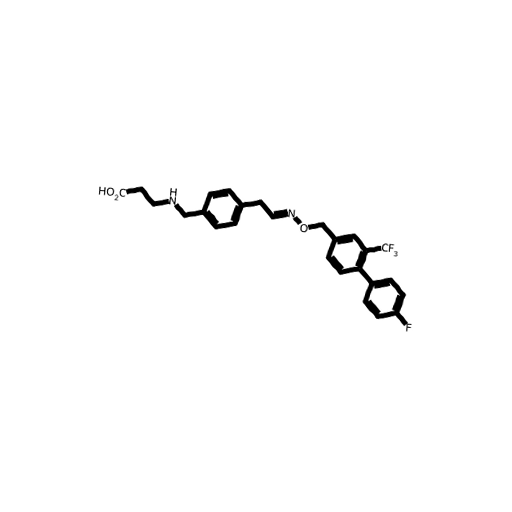 O=C(O)CCNCc1ccc(CC=NOCc2ccc(-c3ccc(F)cc3)c(C(F)(F)F)c2)cc1